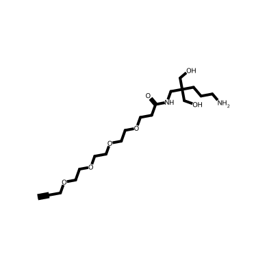 C#CCOCCOCCOCCOCCC(=O)NCC(CO)(CO)CCCN